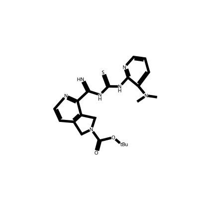 CN(C)c1cccnc1NC(=S)NC(=N)c1nccc2c1CN(C(=O)OC(C)(C)C)C2